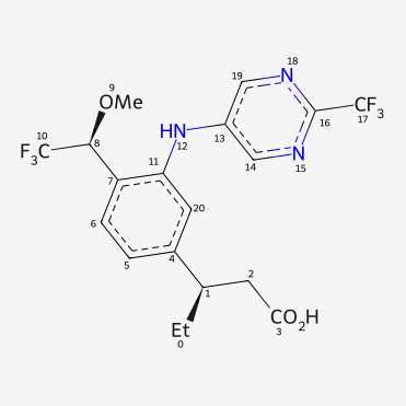 CC[C@H](CC(=O)O)c1ccc([C@H](OC)C(F)(F)F)c(Nc2cnc(C(F)(F)F)nc2)c1